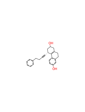 Oc1ccc2c(c1)CCC1=C2[C@H](C#CCCc2ccccc2)CC(O)C1